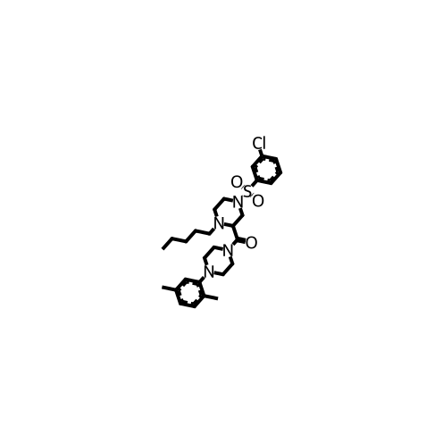 CCCCCN1CCN(S(=O)(=O)c2cccc(Cl)c2)CC1C(=O)N1CCN(c2cc(C)ccc2C)CC1